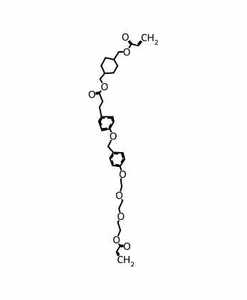 C=CC(=O)OCCOCCOCCOc1ccc(COc2ccc(CCC(=O)OCC3CCC(COC(=O)C=C)CC3)cc2)cc1